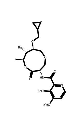 CCCC[C@H]1[C@H](C)OC(=O)[C@@H](NC(=O)c2nccc(OC)c2OC(C)=O)COC[C@@H]1OCC1CC1